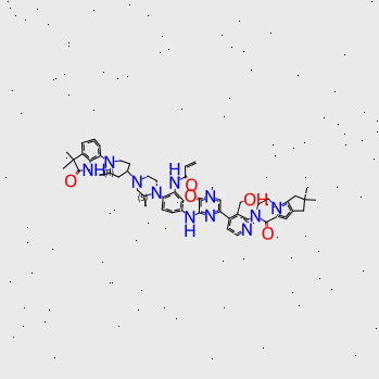 C=CC(=O)Nc1cc(Nc2nc(-c3ccnc(N4CCn5c(cc6c5CC(C)(C)C6)C4=O)c3CO)cn(C)c2=O)ccc1N1CCN(C2CCN(c3cccc4c3NC(=O)C4(C)C)[C@H](C)C2)C[C@@H]1C